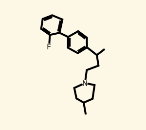 CC1CCN(CCC(C)c2ccc(-c3ccccc3F)cc2)CC1